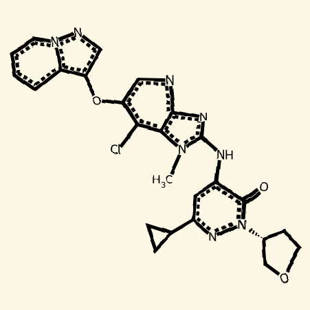 Cn1c(Nc2cc(C3CC3)nn([C@@H]3CCOC3)c2=O)nc2ncc(Oc3cnn4ccccc34)c(Cl)c21